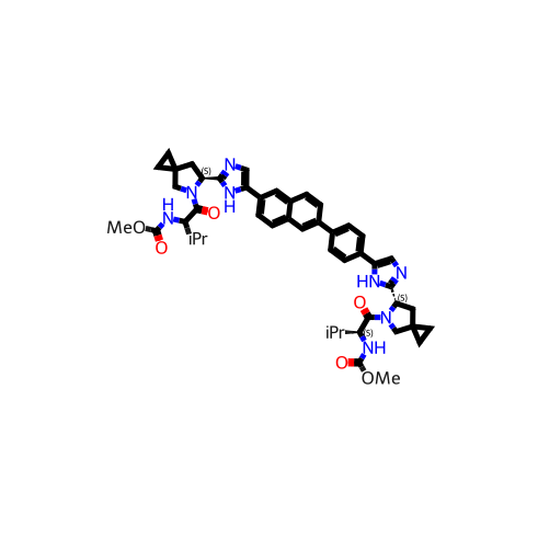 COC(=O)NC(C(=O)N1CC2(CC2)C[C@H]1c1ncc(-c2ccc3cc(-c4ccc(-c5cnc([C@@H]6CC7(CC7)CN6C(=O)[C@@H](NC(=O)OC)C(C)C)[nH]5)cc4)ccc3c2)[nH]1)C(C)C